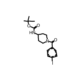 CC(C)(C)OC(=O)NC1CCN(C(=O)c2ccc(I)cc2)CC1